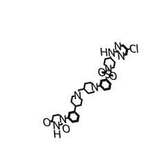 O=C1CCN(c2cccc(C3CCN(CC4CCN(c5cccc(S(=O)(=O)N6CCC(Nc7ncc(Cl)cn7)CC6)c5)CC4)CC3)c2)C(=O)N1